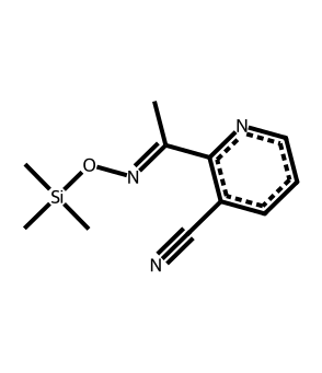 CC(=NO[Si](C)(C)C)c1ncccc1C#N